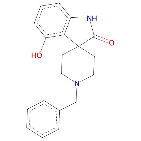 O=C1Nc2cccc(O)c2C12CCN(Cc1ccccc1)CC2